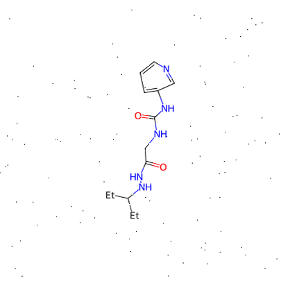 CCC(CC)NNC(=O)CNC(=O)Nc1cccnc1